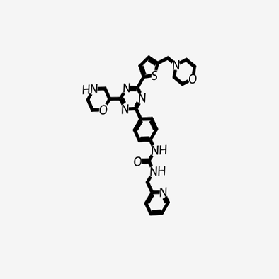 O=C(NCc1ccccn1)Nc1ccc(-c2nc(-c3ccc(CN4CCOCC4)s3)nc(C3CNCCO3)n2)cc1